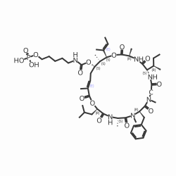 C/C=C(\C)[C@H]1OC(=O)[C@@H](C)NC(=O)[C@H]([C@H](C)CC)NC(=O)CN(C)C(=O)[C@@H](Cc2ccccc2)N(C)C(=O)[C@H](C)NC(=O)[C@@H](CC(C)C)OC(=O)/C(C)=C/C[C@H](OC(=O)NCCCCCOP(=O)(O)O)[C@@H]1C